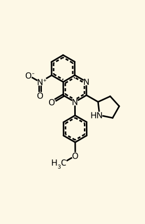 COc1ccc(-n2c(C3CCCN3)nc3cccc([N+](=O)[O-])c3c2=O)cc1